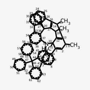 CC1C=C(c2ccccc2)C2(C)C3=C1C(C)C1=C(C3C)C3(c4ccccc41)c1ccccc1-c1cccc(c13)N2c1ccc2c(c1)C(c1ccccc1)(c1ccccc1)c1ccccc1-2